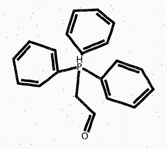 O=C[CH][PH](c1ccccc1)(c1ccccc1)c1ccccc1